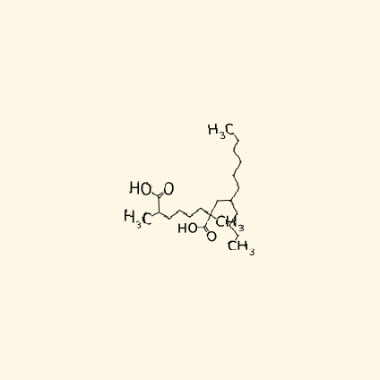 CCCCCCC(CCCC)CC(C)(CCCCC(C)C(=O)O)C(=O)O